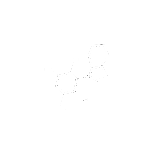 Bc1cc(B)c(S)c(-n2nnc3ccccc32)c1N